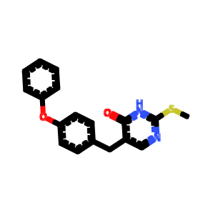 CSc1ncc(Cc2ccc(Oc3ccccc3)cc2)c(=O)[nH]1